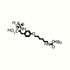 CC(C)(C)OC(=O)NCCCCCCOc1ccc(CC(NS(C)(=O)=O)C(=O)O)cc1